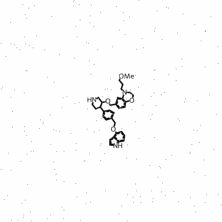 COCCCN1CCOc2ccc(COC3CNCCC3c3ccc(COc4cccc5[nH]ccc45)cc3)cc21